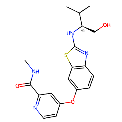 CNC(=O)c1cc(Oc2ccc3nc(N[C@H](CO)C(C)C)sc3c2)ccn1